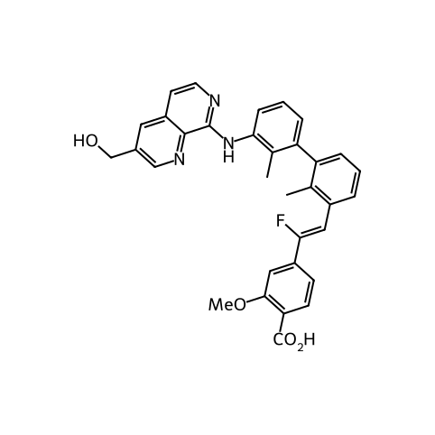 COc1cc(C(F)=Cc2cccc(-c3cccc(Nc4nccc5cc(CO)cnc45)c3C)c2C)ccc1C(=O)O